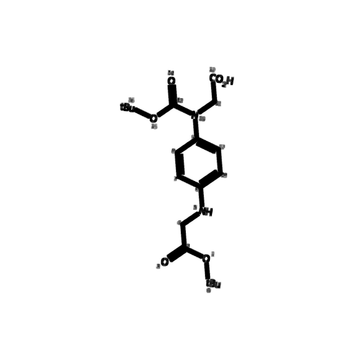 CC(C)(C)OC(=O)CNc1ccc(N(CC(=O)O)C(=O)OC(C)(C)C)cc1